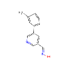 O/N=C/c1cncc(-c2cccc(C(F)(F)F)c2)c1